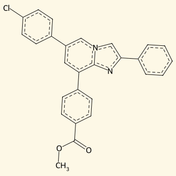 COC(=O)c1ccc(-c2cc(-c3ccc(Cl)cc3)cn3cc(-c4ccccc4)nc23)cc1